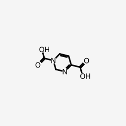 O=C(O)C1=NCN(C(=O)O)C=C1